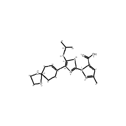 Cc1cc(C(=O)O)n(-c2nc(C3=CCC4(CC3)OCCO4)c(SC(C)C)s2)n1